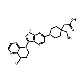 CC1CCN(c2n[nH]c3nc(N4CCC(CN)(CC(=O)O)CC4)cnc23)c2cccnc21